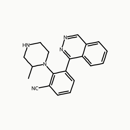 CC1CNCCN1c1c(C#N)cccc1-c1nncc2ccccc12